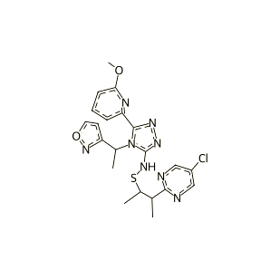 COc1cccc(-c2nnc(NSC(C)C(C)c3ncc(Cl)cn3)n2C(C)c2ccon2)n1